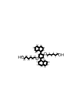 OCCCCCCOc1cc(-c2cccc3ccccc23)c(OCCCCCCO)cc1-c1cccc2ccccc12